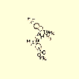 COC1Cc2cc(C(F)(F)F)ccc2C1N1CCN(C2(C)CCN(C(=O)OC(C)(C)C)CC2)C[C@@H]1C